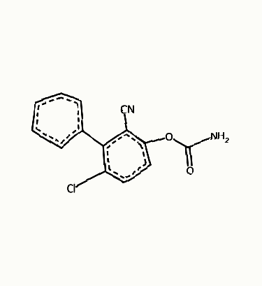 N#Cc1c(OC(N)=O)ccc(Cl)c1-c1ccccc1